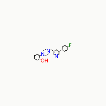 Oc1ccccc1N1CCN(Cc2cncc(-c3ccc(F)cc3)c2)CC1